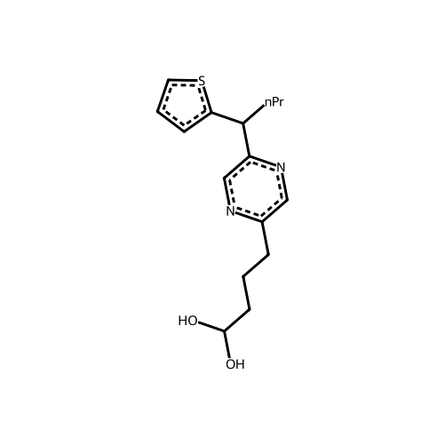 CCCC(c1cnc(CCCC(O)O)cn1)c1cccs1